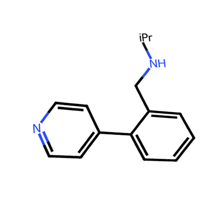 CC(C)NCc1ccccc1-c1ccncc1